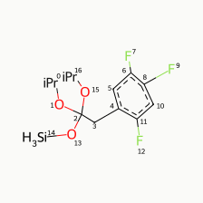 CC(C)OC(Cc1cc(F)c(F)cc1F)(O[SiH3])OC(C)C